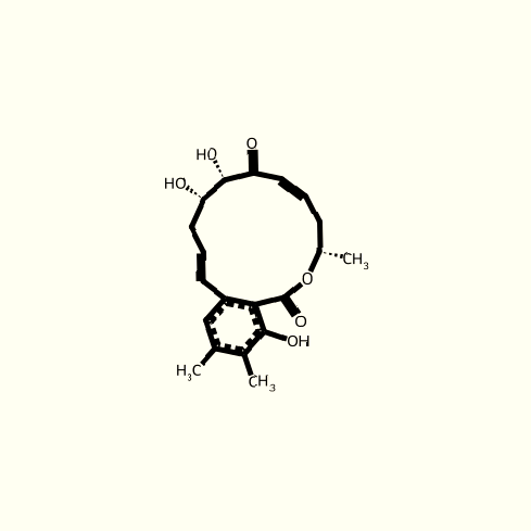 Cc1cc2c(c(O)c1C)C(=O)O[C@@H](C)C/C=C\C(=O)[C@@H](O)[C@@H](O)C/C=C/2